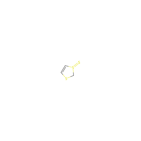 S=S1C=CSC1